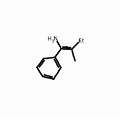 CC/C(C)=C(\N)c1ccccc1